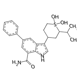 CC(C)C1CC(c2c[nH]c3c(C(N)=O)cc(-c4ccccc4)cc23)CCS1(O)O